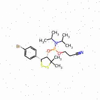 CC(C)N(C(C)C)P(OCCC#N)O[C@H]1[C@@H](c2ccc(Br)cc2)SSC1(C)C